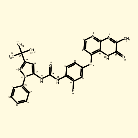 Cc1nc2nccc(Oc3ccc(NC(=O)Nc4cc(C(C)(C)C)nn4-c4ccccc4)c(F)c3)c2[nH]c1=O